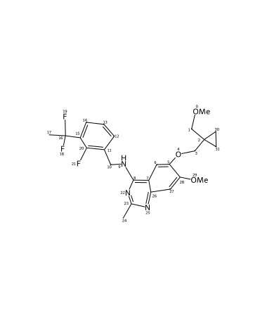 COCC1(COc2cc3c(NCc4cccc(C(C)(F)F)c4F)nc(C)nc3cc2OC)CC1